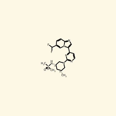 C[C@@H]1C[C@H](N[SH](C)(C)=O)CN(c2nccc(-c3cnc4ccc(C(F)F)cn34)n2)C1